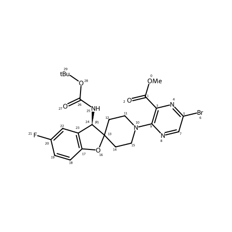 COC(=O)c1nc(Br)cnc1N1CCC2(CC1)Oc1ccc(F)cc1[C@H]2NC(=O)OC(C)(C)C